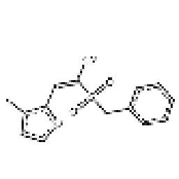 Cc1ccoc1/C=C(/C#N)S(=O)(=O)Cc1ccccc1